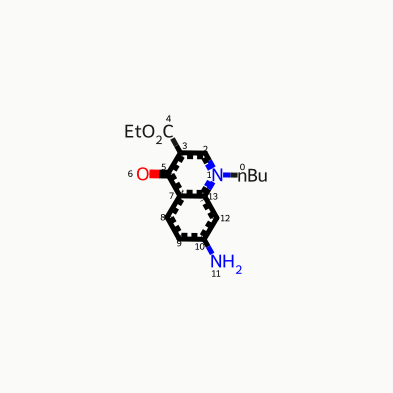 CCCCn1cc(C(=O)OCC)c(=O)c2ccc(N)cc21